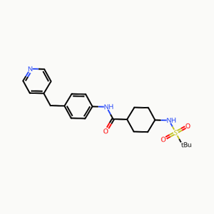 CC(C)(C)S(=O)(=O)NC1CCC(C(=O)Nc2ccc(Cc3ccncc3)cc2)CC1